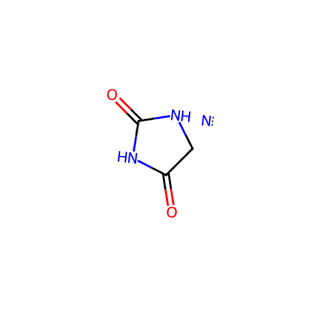 O=C1CNC(=O)N1.[N]